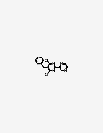 Clc1nc(-c2cnccn2)nc(Cl)c1Cc1ccccc1